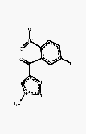 Cn1cc(C(=O)c2cc(Cl)ccc2[N+](=O)[O-])nn1